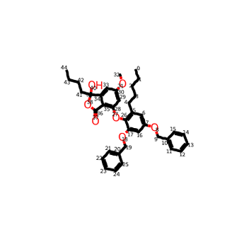 CCCCCc1cc(OCc2ccccc2)cc(OCc2ccccc2)c1Oc1cc(OC)cc2c1C(=O)OC2(O)CCCC